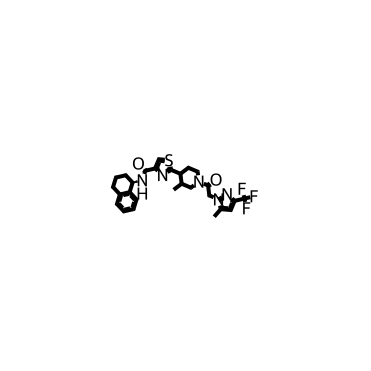 Cc1cc(C(F)(F)F)nn1CC(=O)N1CCC(c2nc(C(=O)N[C@@H]3CCCc4ccccc43)cs2)C(C)C1